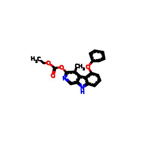 CCOC(=O)Oc1ncc2[nH]c3cccc(Oc4ccccc4)c3c2c1C